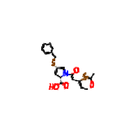 CCC(CC(=O)N1C[C@@H](SCc2ccccc2)C[C@H]1C(=O)O)SC(C)=O